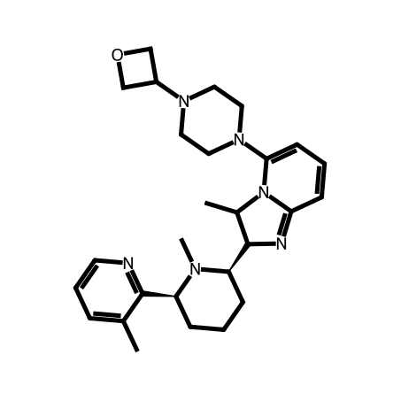 Cc1cccnc1[C@@H]1CCC[C@H](C2N=C3C=CC=C(N4CCN(C5COC5)CC4)N3C2C)N1C